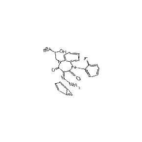 CC(C)(C)C(O)Cn1c(=O)c(=NN)c(=O)n(-c2ccccc2F)c2ccccc21.c1cc2cc-2c1